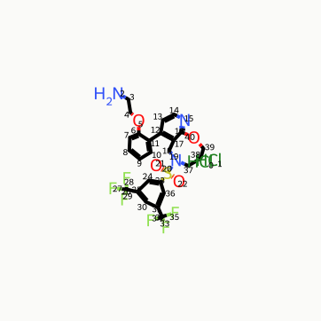 Cl.Cl.NCCOc1ccccc1-c1ccnc2c1CN(S(=O)(=O)c1cc(C(F)(F)F)cc(C(F)(F)F)c1)CCCO2